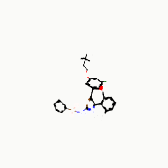 Cc1cccc(C)c1-c1nc(NS(=O)(=O)c2ccccc2)sc1-c1cc(F)cc(OCCC(C)(C)C)c1